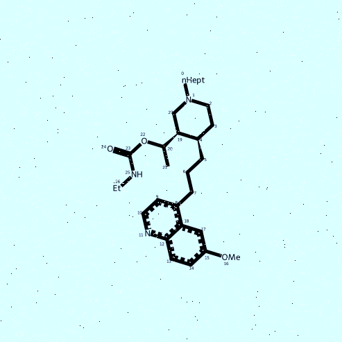 CCCCCCCN1CC[C@@H](CCCc2ccnc3ccc(OC)cc23)[C@@H](C(C)OC(=O)NCC)C1